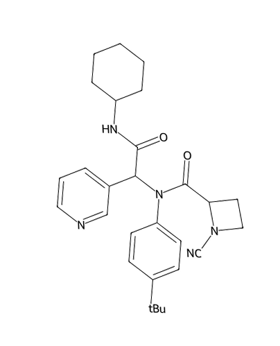 CC(C)(C)c1ccc(N(C(=O)C2CCN2C#N)C(C(=O)NC2CCCCC2)c2cccnc2)cc1